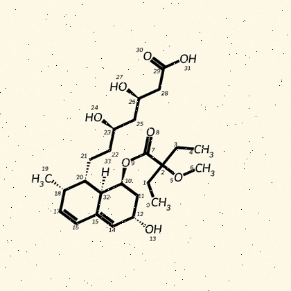 CCC(CC)(OC)C(=O)O[C@H]1C[C@H](O)C=C2C=C[C@H](C)[C@H](CC[C@@H](O)C[C@@H](O)CC(=O)O)[C@H]21